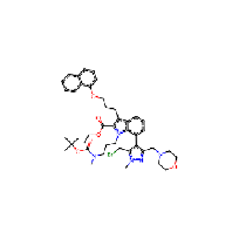 CCOC(=O)c1c(CCCOc2cccc3ccccc23)c2cccc(-c3c(CN4CCOCC4)nn(C)c3CBr)c2n1CCCN(C)C(=O)OC(C)(C)C